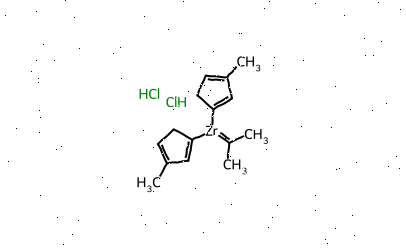 CC1=CC[C]([Zr]([C]2=CC(C)=CC2)=[C](C)C)=C1.Cl.Cl